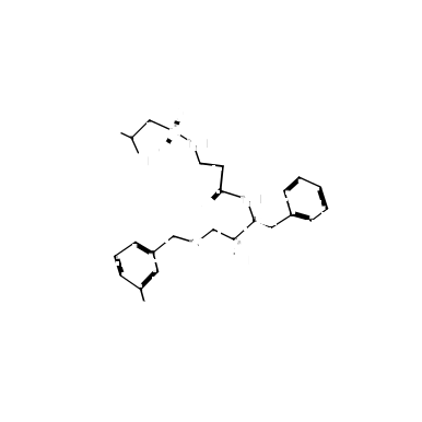 CC(C)CS(=O)(=O)NCCC(=O)N[C@@H](Cc1ccccc1)[C@H](O)CNCc1cccc(I)c1